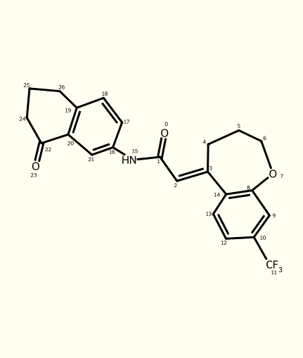 O=C(C=C1CCCOc2cc(C(F)(F)F)ccc21)Nc1ccc2c(c1)C(=O)CCC2